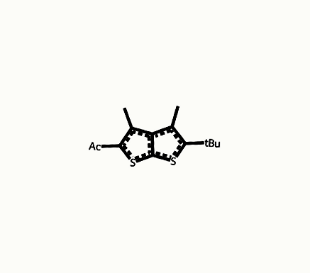 CC(=O)c1sc2sc(C(C)(C)C)c(C)c2c1C